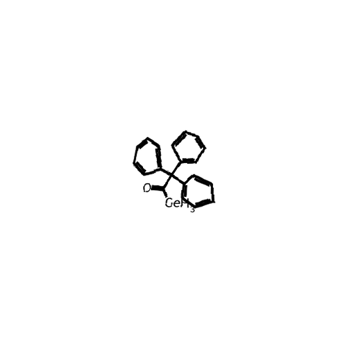 O=[C]([GeH3])C(c1ccccc1)(c1ccccc1)c1ccccc1